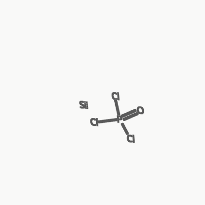 O=P(Cl)(Cl)Cl.[Si]